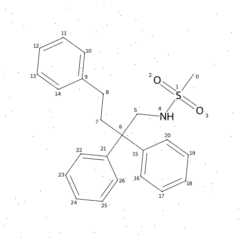 CS(=O)(=O)NCC(CCc1ccccc1)(c1ccccc1)c1ccccc1